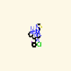 Clc1cccc(I)c1C1=Nc2cnc(NCc3nccs3)nc2C1C[C@@H]1CCCNC1